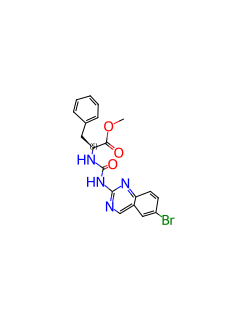 COC(=O)[C@H](Cc1ccccc1)NC(=O)Nc1ncc2cc(Br)ccc2n1